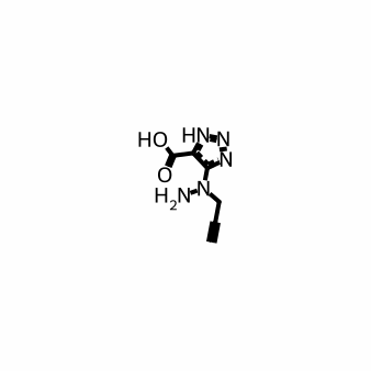 C#CCN(N)c1nn[nH]c1C(=O)O